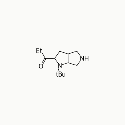 CCC(=O)C1CC2CNCC2N1C(C)(C)C